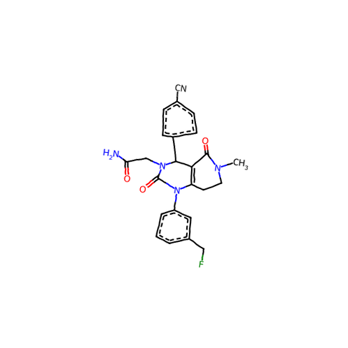 CN1CCC2=C(C1=O)C(c1ccc(C#N)cc1)N(CC(N)=O)C(=O)N2c1cccc(CF)c1